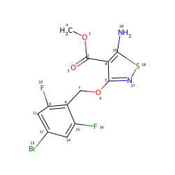 COC(=O)c1c(OCc2c(F)cc(Br)cc2F)nsc1N